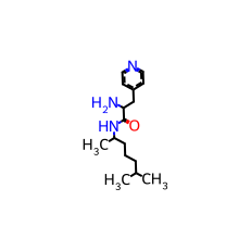 CC(C)CCCC(C)NC(=O)C(N)Cc1ccncc1